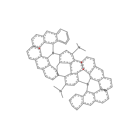 CN(C)c1cc(B(c2c3ccccc3cc3ccccc23)c2c3ccccc3cc3ccccc23)c2ccc3c(N(C)C)cc(B(c4c5c(cc6ccccc46)=CC=C=C=5)c4c5ccccc5cc5ccccc45)c4c3c2c1CC4